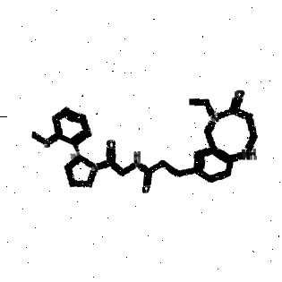 CCN1Cc2cc(CCC(=O)NCC(=O)N3CCC[C@@H]3c3ccccc3SC)ccc2NCCC1=O